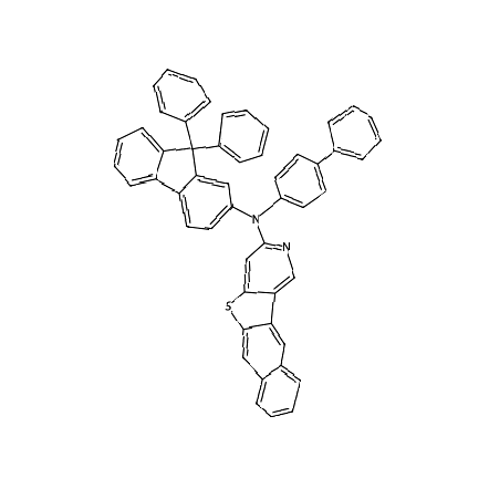 c1ccc(-c2ccc(N(c3ccc4c(c3)C(c3ccccc3)(c3ccccc3)c3ccccc3-4)c3cc4sc5cc6ccccc6cc5c4cn3)cc2)cc1